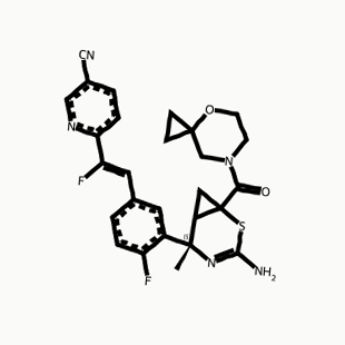 C[C@]1(c2cc(C=C(F)c3ccc(C#N)cn3)ccc2F)N=C(N)SC2(C(=O)N3CCOC4(CC4)C3)CC21